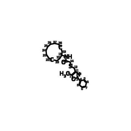 Cc1oc(-c2ccccc2)nc1CSCC(=O)NC1CCCCCCCCCCCC1